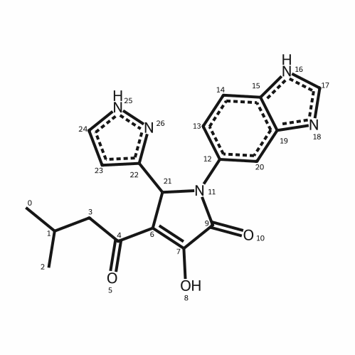 CC(C)CC(=O)C1=C(O)C(=O)N(c2ccc3[nH]cnc3c2)C1c1cc[nH]n1